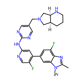 Cc1nc2c(F)cc(-c3cc(Nc4ncc(CN5C[C@@H]6CCCN[C@@H]6C5)cn4)ncc3F)cc2n1C(C)C